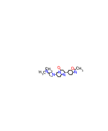 Cc1nc2ccc(-c3cc(=O)n4cc(N5CC[C@@H](N(C)C)C5)ccc4n3)cc2o1